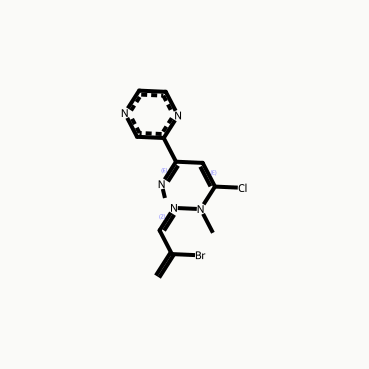 C=C(Br)/C=N\N(C)/C(Cl)=C\C(=N/C)c1cnccn1